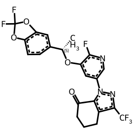 C[C@H](Oc1cc(-n2nc(C(F)(F)F)c3c2C(=O)CCC3)cnc1F)c1ccc2c(c1)OC(F)(F)O2